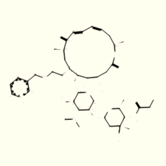 CO[C@@H]1[C@@H](O[C@@H]2O[C@H](C)[C@@H](O[C@H]3C[C@@](C)(O)[C@@H](OC(=O)CC(C)C)[C@H](C)O3)[C@H](N(C)C)[C@H]2O)[C@@H](CCNCc2cccnc2)C[C@@H](C)C(=O)/C=C/C=C\C[C@@H](C)OC(=O)C[C@@H]1O